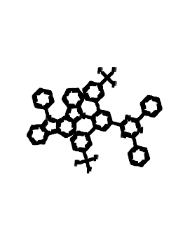 FC(F)(F)c1cccc(-c2cc(-c3nc(-c4ccccc4)nc(-c4ccccc4)n3)cc(-c3cccc(C(F)(F)F)c3)c2-n2c3ccccc3c3c2ccc2c4ccccc4n(-c4ccccc4)c23)c1